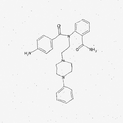 NC(=O)c1ccccc1N(CCN1CCN(c2ccccc2)CC1)C(=O)c1ccc(N)cc1